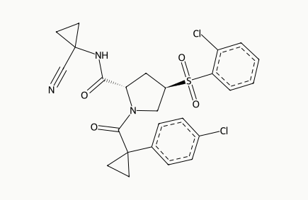 N#CC1(NC(=O)[C@@H]2C[C@@H](S(=O)(=O)c3ccccc3Cl)CN2C(=O)C2(c3ccc(Cl)cc3)CC2)CC1